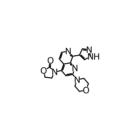 O=C1OCCN1c1cc(N2CCOCC2)nc2c(-c3cn[nH]c3)nccc12